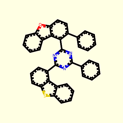 c1ccc(-c2nc(-c3c(-c4ccccc4)ccc4oc5ccccc5c34)nc(-c3cccc4sc5ccccc5c34)n2)cc1